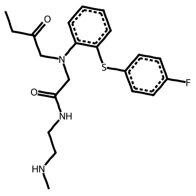 CCC(=O)CN(CC(=O)NCCNC)c1ccccc1Sc1ccc(F)cc1